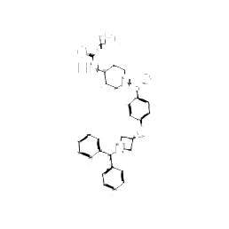 CC(C)(C)OC(=O)NC1CCN([S+]([O-])c2ccc(OC3CN(C(c4ccccc4)c4ccccc4)C3)cc2)CC1